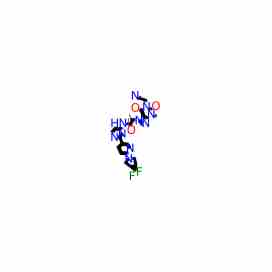 C[C@@H](C(=O)Nc1ccnc(-c2ccc(N3CC4C(C3)C4(F)F)nc2)n1)n1cnc2c1c(=O)n(CC#N)c(=O)n2C